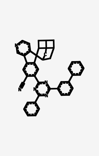 N#Cc1cc2c(cc1-c1nc(-c3ccccc3)nc(-c3cccc(-c4ccccc4)c3)n1)C1(c3ccncc3-2)C2CC3CC4CC1C34C2